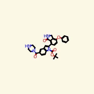 CC(C)(C)OC(=O)n1c(-c2ccc(Oc3ccccc3)c3c2C(=O)NC3)cc2cc(C(=O)N3CCNCC3)ccc21